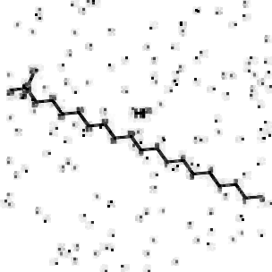 CCCCCCCCCCCCCCCCCC[Si](C)C.I